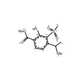 CCCCC(C)c1ccc(C(=O)OC)c(CCC)c1S(C)(=O)=O